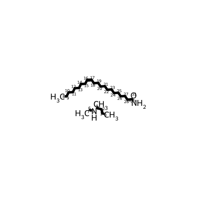 CCCC(C)NCC.CCCCCCCC/C=C\CCCCCCCCCCCC(N)=O